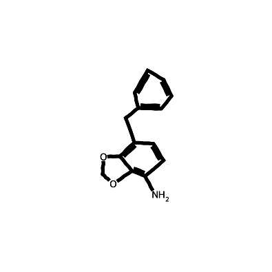 Nc1ccc(Cc2ccccc2)c2c1OCO2